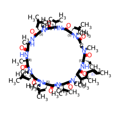 C/C=C/C[C@@H](C)[C@@H](C)[C@H]1C(=O)N[C@@H](CC)C(=O)N(C)CC(=O)N(C)[C@@H](CC(C)C)C(=O)N[C@@H](C(C)C)C(=O)N(C)[C@@H](CC(C)C)C(=O)N[C@@H](C)C(=O)N[C@H](C)C(=O)N(C)[C@@H](CC(C)C)C(=O)N(C)[C@@H](CC(C)C)C(=O)N(C)[C@@H](C(C)C)C(=O)N1C